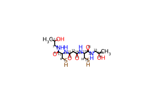 CC(O)CNC(=O)C(CS)NC(=O)CC(=O)NC(CS)C(=O)NCC(C)O